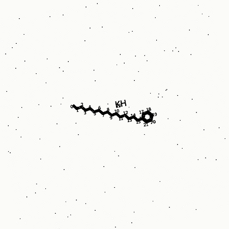 CCCCCCCCCCCCCCCCc1ccccc1.[KH]